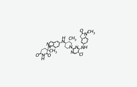 C[C@@H]1CN(c2ncc(Cl)c(Nc3ccc4c(c3)CC(=O)N4C)n2)CC[C@H]1Nc1ccc2c(cnn2C2(C)CCC(=O)NC2=O)c1